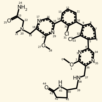 COc1nc(-c2cccc(-c3cccc(-c4cnc(CN(C)CC(N)=O)c(OC)n4)c3Cl)c2Cl)cnc1CNCC1CCC(=O)N1